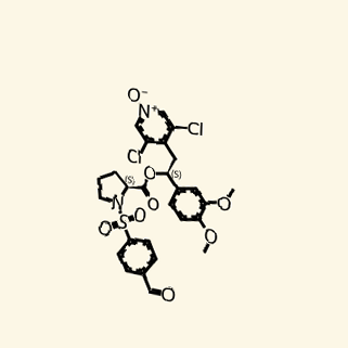 COc1ccc([C@H](Cc2c(Cl)c[n+]([O-])cc2Cl)OC(=O)[C@@H]2CCCN2S(=O)(=O)c2ccc(C=O)cc2)cc1OC